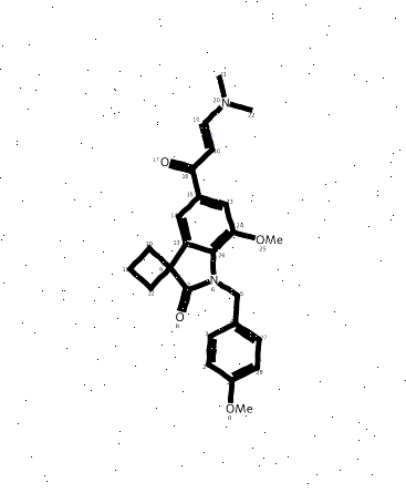 COc1ccc(CN2C(=O)C3(CCC3)c3cc(C(=O)/C=C/N(C)C)cc(OC)c32)cc1